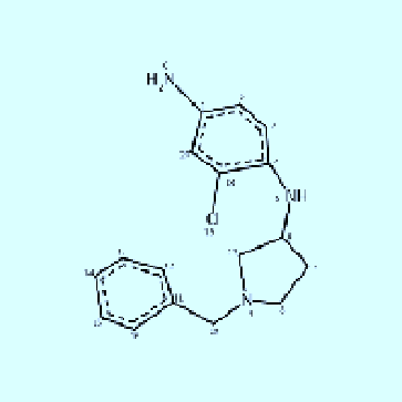 Nc1ccc(NC2CCN(Cc3ccccc3)C2)c(Cl)c1